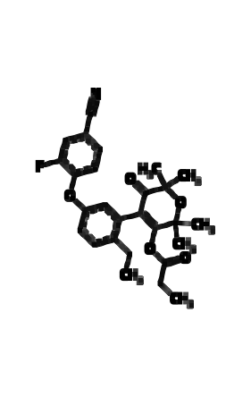 CCC(=O)OC1=C(c2cc(Oc3ccc(C#N)cc3F)ccc2CC)C(=O)C(C)(C)OC1(C)C